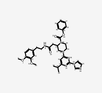 COc1ccc(CCNC(=O)CC2CN(c3cc(C(C)C)nc(-n4ccnc4)n3)CCN2C(=O)Oc2ccccc2)cc1OC